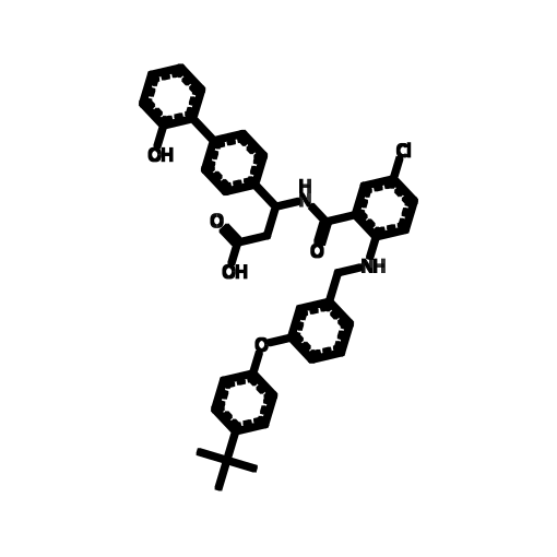 CC(C)(C)c1ccc(Oc2cccc(CNc3ccc(Cl)cc3C(=O)NC(CC(=O)O)c3ccc(-c4ccccc4O)cc3)c2)cc1